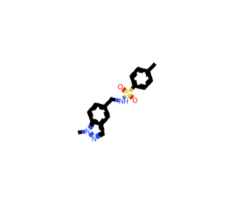 Cc1ccc(S(=O)(=O)NCc2ccc3c(cnn3C)c2)cc1